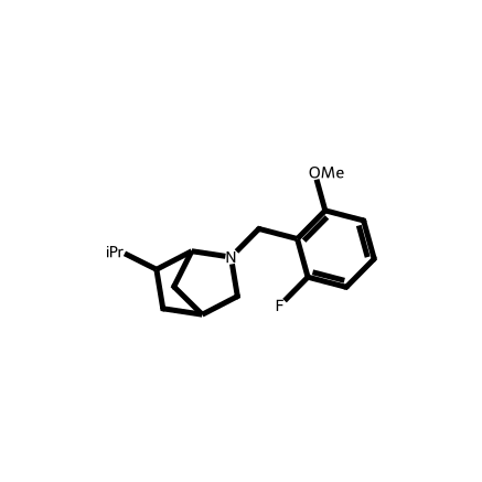 COc1cccc(F)c1CN1CC2CC(C(C)C)C1C2